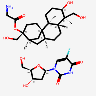 C[C@@]1(CO)[C@H](O)CC[C@@]2(C)[C@H]1CC[C@H]1C[C@@H]3C[C@@]12CC[C@@]3(CO)OC(=O)CN.O=c1[nH]c(=O)n([C@H]2C[C@H](O)[C@@H](CO)O2)cc1F